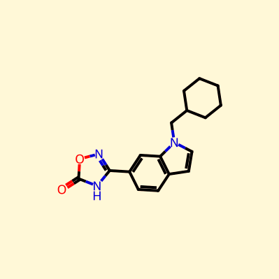 O=c1[nH]c(-c2ccc3ccn(CC4CCCCC4)c3c2)no1